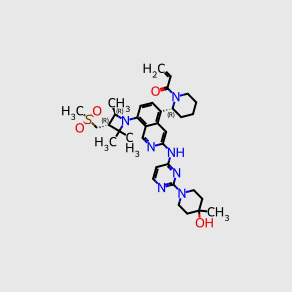 C=CC(=O)N1CCCC[C@@H]1c1ccc(N2[C@H](C)[C@@H](CS(C)(=O)=O)C2(C)C)c2cnc(Nc3ccnc(N4CCC(C)(O)CC4)n3)cc12